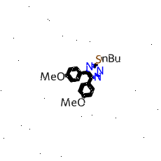 CCCCSc1nnc(-c2ccc(OC)cc2)c(-c2ccc(OC)cc2)n1